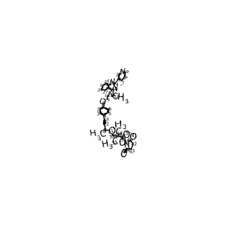 CC(C#Cc1ccc(OCCN(C)c2nc(-c3cccnc3)nc3ccccc23)cc1)OCC(C)(C)C(=O)ON1C(=O)CCC1=O